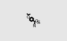 CC(C)Oc1ccc(C(C#N)O[Si](C)(C)C)cc1